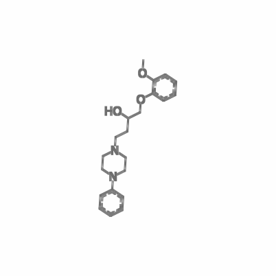 COc1ccccc1OCC(O)CCN1CCN(c2ccccc2)CC1